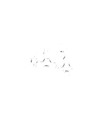 CCOc1cc(CNc2nc(Cl)ncc2/C=C/C(=O)OC(C)(C)C)ccc1-c1nc(C(F)(F)F)cn1C